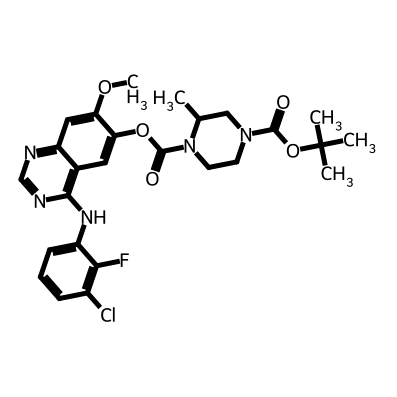 COc1cc2ncnc(Nc3cccc(Cl)c3F)c2cc1OC(=O)N1CCN(C(=O)OC(C)(C)C)CC1C